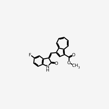 COC(=O)c1cc(C=C2C(=O)Nc3ccc(F)cc32)c2cccccc1-2